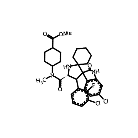 COC(=O)C1CCC(N(C)C(=O)[C@@H]2NC3(CCCCC3)C3(C(=O)Nc4cc(Cl)ccc43)C2c2cccc(Cl)c2F)CC1